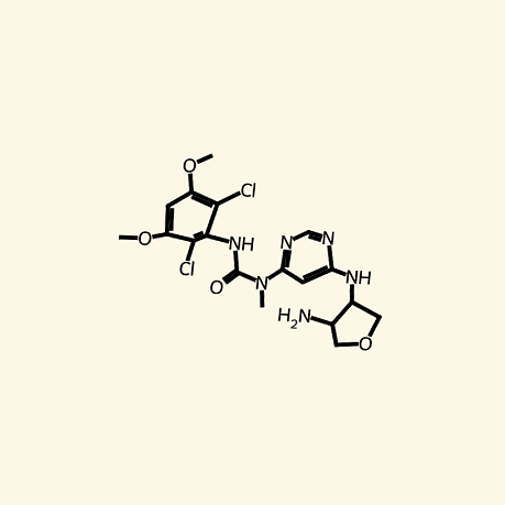 COc1cc(OC)c(Cl)c(NC(=O)N(C)c2cc(NC3COCC3N)ncn2)c1Cl